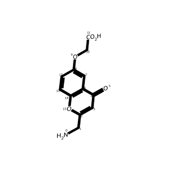 NCc1cc(=O)c2cc(OCC(=O)O)ccc2o1